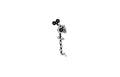 COc1cc(C(C)NC(=O)OCC2c3ccccc3-c3ccccc32)c([N+](=O)[O-])cc1OCCCC(=O)NCCOCCOCCOCCN.Cl